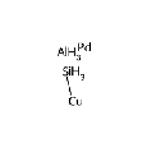 [AlH3].[Pd].[SiH3][Cu]